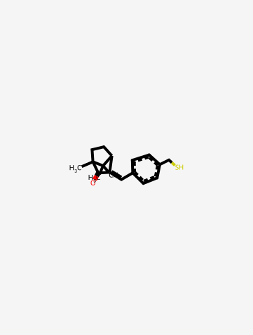 CC12CCC(C(=Cc3ccc(CS)cc3)C1=O)C2(C)C